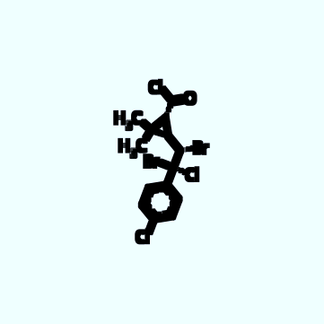 CC1(C)[C@H]([C@H](Br)[C@](Cl)(Br)c2ccc(Cl)cc2)[C@H]1C(=O)Cl